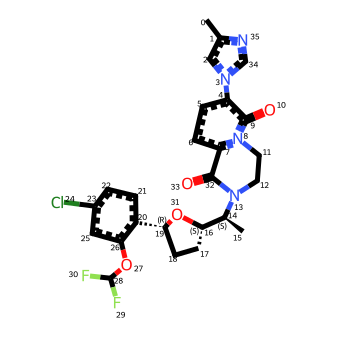 Cc1cn(-c2ccc3n(c2=O)CCN([C@@H](C)[C@@H]2CC[C@H](c4ccc(Cl)cc4OC(F)F)O2)C3=O)cn1